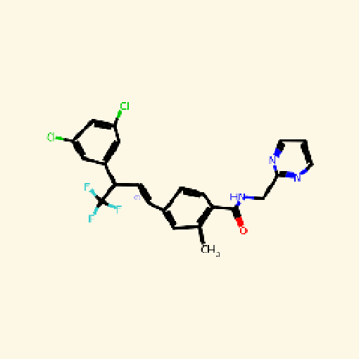 Cc1cc(/C=C/C(c2cc(Cl)cc(Cl)c2)C(F)(F)F)ccc1C(=O)NCc1ncccn1